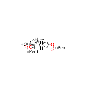 C#C[C@]1(OC(=O)CCCCC)CC[C@H]2[C@@H]3CCC4=C(CCC(OC(=O)CCCCC)=C4)[C@H]3CC[C@@]21CC